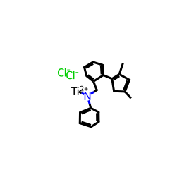 CC1=CC(C)=C(c2ccccc2C[N]([Ti+2])c2ccccc2)C1.[Cl-].[Cl-]